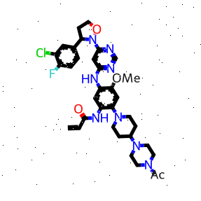 C=CC(=O)Nc1cc(Nc2cc(N3OCCC3c3ccc(F)c(Cl)c3)ncn2)c(OC)cc1N1CCC(N2CCN(C(C)=O)CC2)CC1